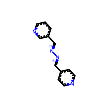 C(=N\N=C\c1cccnc1)/c1ccncc1